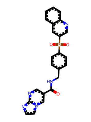 O=C(NCc1ccc(S(=O)(=O)c2cnc3ccccc3c2)cc1)c1cnc2nccn2c1